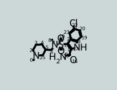 CN1CCCC(CN(C)S(=O)(=O)c2c(C(N)=O)[nH]c3ccc(Cl)cc23)C1